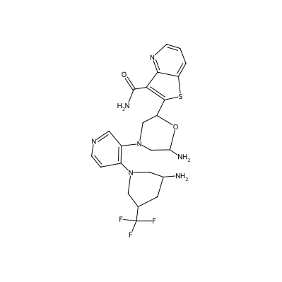 NC(=O)c1c(C2CN(c3cnccc3N3CC(N)CC(C(F)(F)F)C3)CC(N)O2)sc2cccnc12